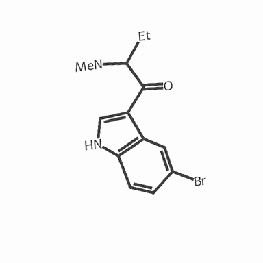 CCC(NC)C(=O)c1c[nH]c2ccc(Br)cc12